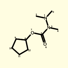 CN(C)N(C)C(=O)OC1CCCC1